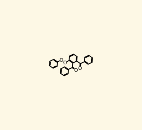 O=C(c1ccccc1)c1cccc(OOc2ccccc2)c1C(=O)c1ccccc1